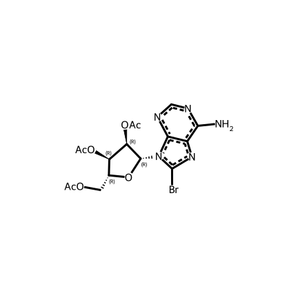 CC(=O)OC[C@H]1O[C@@H](n2c(Br)nc3c(N)ncnc32)[C@H](OC(C)=O)[C@@H]1OC(C)=O